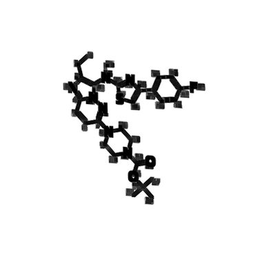 CCc1nc2ccc(N3CCN(C(=O)OC(C)(C)C)CC3)nn2c1N(C)c1nc(-c2ccc(F)cc2)cs1